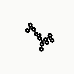 CC1(C)c2cc(-c3ccc4c5ccccc5n(-c5ccccc5)c4c3)ccc2-c2ccc(N(c3ccc(-c4ccccc4)cc3)c3ccc(-n4c5ccccc5c5ccccc54)c4ccccc34)cc21